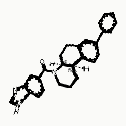 O=C(c1ccc2[nH]cnc2c1)N1CCC[C@@H]2c3ccc(-c4ccccc4)cc3CC[C@@H]21